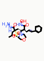 CCCC(C[C@H]([C@H](C/C=C/c1ccccc1)C(=O)NO)[N+]1(C)CCOCC1)(C(=O)NN)S(C)(=O)=O